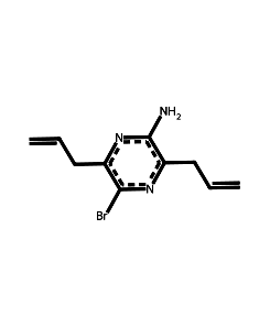 C=CCc1nc(Br)c(CC=C)nc1N